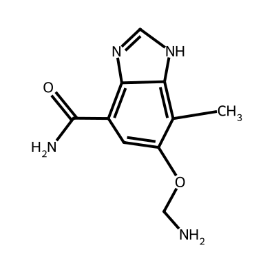 Cc1c(OCN)cc(C(N)=O)c2nc[nH]c12